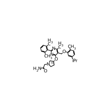 Cc1ccc(C(C)C)cc1OCc1c(C)nc(-c2c(C)cccc2C)nc1O[C@H]1CCN(CC(N)=O)C1